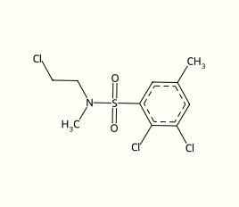 Cc1cc(Cl)c(Cl)c(S(=O)(=O)N(C)CCCl)c1